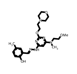 COCCN(C)c1cc(NN=Cc2cc(C)ccc2O)nc(OCCN2CCOCC2)n1